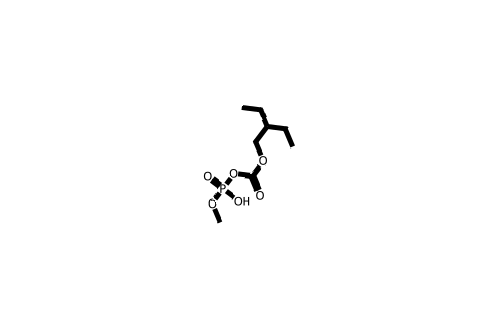 CCC(CC)COC(=O)OP(=O)(O)OC